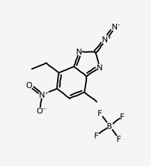 CCc1c([N+](=O)[O-])cc(C)c2c1=NC(=[N+]=[N-])N=2.F[B-](F)(F)F